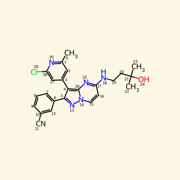 Cc1cc(-c2c(-c3cccc(C#N)c3)nn3ccc(NCCC(C)(C)O)nc23)cc(Cl)n1